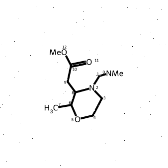 CNCN1CCOC(C)C1CC(=O)OC